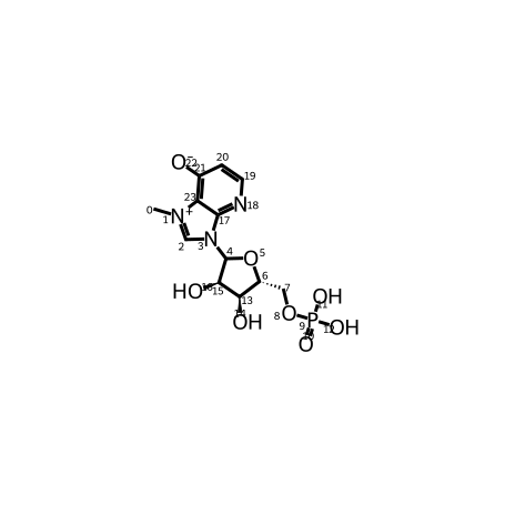 C[n+]1cn(C2O[C@H](COP(=O)(O)O)[C@@H](O)[C@H]2O)c2nccc([O-])c21